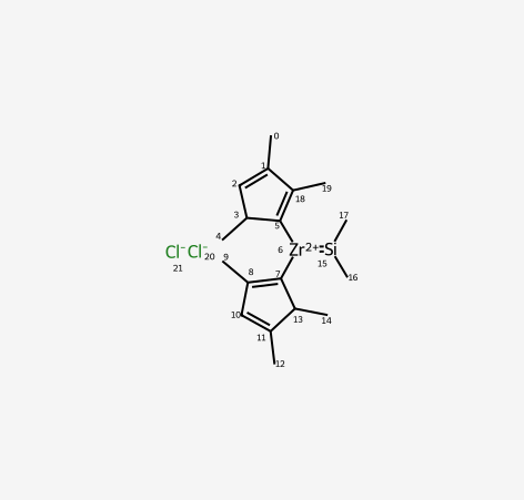 CC1=CC(C)[C]([Zr+2]([C]2=C(C)C=C(C)C2C)=[Si](C)C)=C1C.[Cl-].[Cl-]